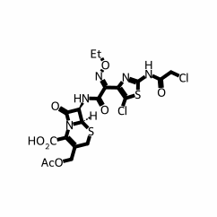 CCON=C(C(=O)N[C@@H]1C(=O)N2C(C(=O)O)=C(COC(C)=O)CS[C@H]12)c1nc(NC(=O)CCl)sc1Cl